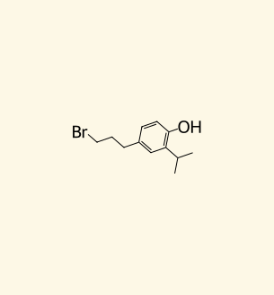 CC(C)c1cc(CCCBr)ccc1O